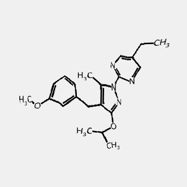 CCc1cnc(-n2nc(OC(C)C)c(Cc3cccc(OC)c3)c2C)nc1